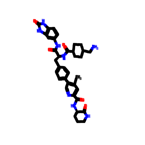 Cc1cc(C(=O)N[C@@H]2CCCNC2=O)ncc1-c1ccc(C[C@H](NC(=O)C2CCC(CN)CC2)C(=O)Nc2ccc3[nH]c(=O)[nH]c3c2)cc1